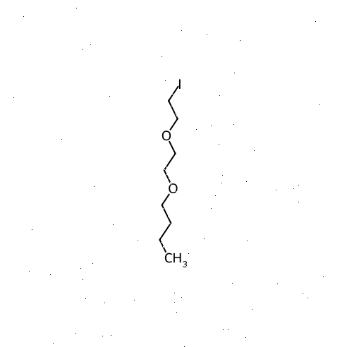 CCCCOCCOCCI